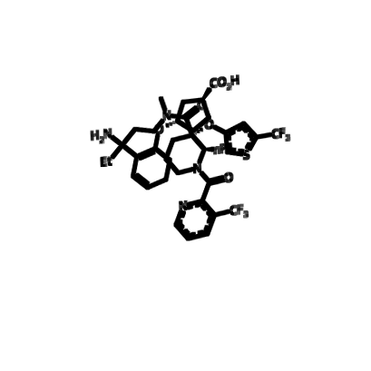 CCC[C@H]1N(C(=O)c2ncccc2C(F)(F)F)CCC[C@@]1(Oc1csc(C(F)(F)F)c1)C(=O)N(C)CCC(N)(CC)C1=C(O[C@H]2CC[C@H](C(=O)O)C2)CCC=C1